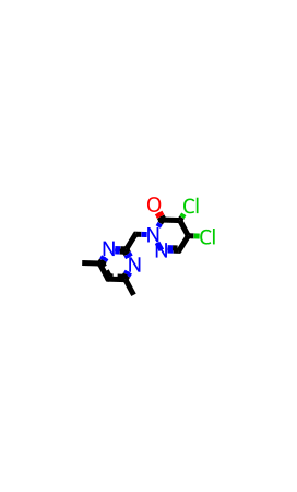 Cc1cc(C)nc(CN2N=CC(Cl)C(Cl)C2=O)n1